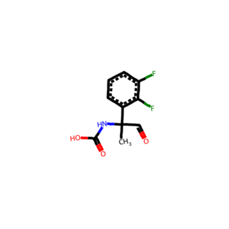 CC(C=O)(NC(=O)O)c1cccc(F)c1F